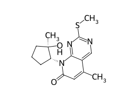 CSc1ncc2c(C)cc(=O)n([C@@H]3CCC[C@@]3(C)O)c2n1